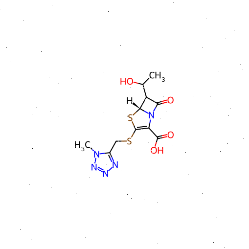 CC(O)C1C(=O)N2C(C(=O)O)=C(SCc3nnnn3C)S[C@H]12